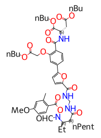 CCCCC[C@@H](C(=O)NCNC(=O)c1ccc(-c2ccc(C(=O)N[C@@H](CC(=O)OCCCC)C(=O)OCCCC)c(OCC(=O)OCCCC)c2)o1)[C@@H](CC)N(C=O)OC(=O)c1ccc(OC)cc1C